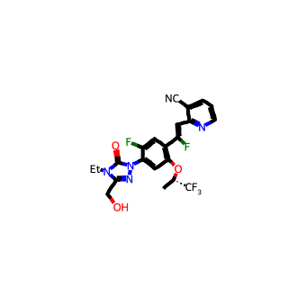 CCn1c(CO)nn(-c2cc(O[C@@H](C)C(F)(F)F)c(/C(F)=C/c3ncccc3C#N)cc2F)c1=O